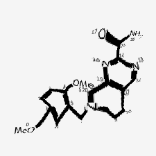 COc1ccc(OC)c(CN2CCc3[c]nc(C(N)=O)nc3C2)c1